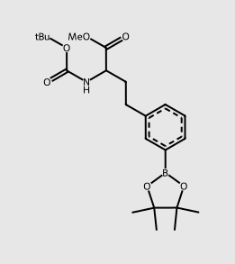 COC(=O)C(CCc1cccc(B2OC(C)(C)C(C)(C)O2)c1)NC(=O)OC(C)(C)C